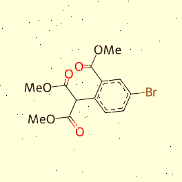 COC(=O)c1cc(Br)ccc1C(C(=O)OC)C(=O)OC